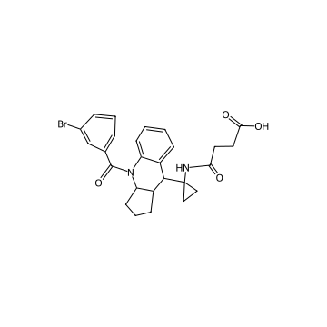 O=C(O)CCC(=O)NC1(C2c3ccccc3N(C(=O)c3cccc(Br)c3)C3CCCC32)CC1